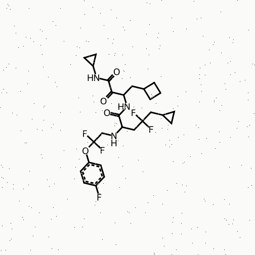 O=C(NC1CC1)C(=O)C(CC1CCC1)NC(=O)C(CC(F)(F)CC1CC1)NCC(F)(F)Oc1ccc(F)cc1